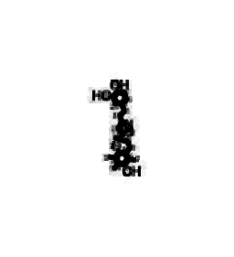 Cc1c(C)c2c(c(C)c1O)CCC(C)(c1cc(CCc3ccc(O)c(O)c3)no1)O2